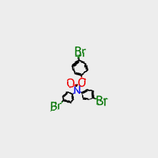 O=C(Oc1ccc(Br)cc1)N(c1ccc(Br)cc1)c1ccc(Br)cc1